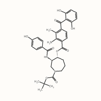 Cc1c(C(=O)c2c(O)cccc2O)ccc(C(=O)O[C@@H]2CCCN(C(=O)OC(C)(C)C)C[C@H]2NC(=O)c2ccc(O)cc2)c1N